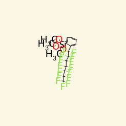 CO[Si](OC)(OC)c1ccccc1C(F)(F)C(F)(F)C(F)(F)C(F)(F)C(F)(F)C(F)(F)C(F)(F)F